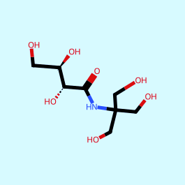 O=C(NC(CO)(CO)CO)[C@H](O)[C@H](O)CO